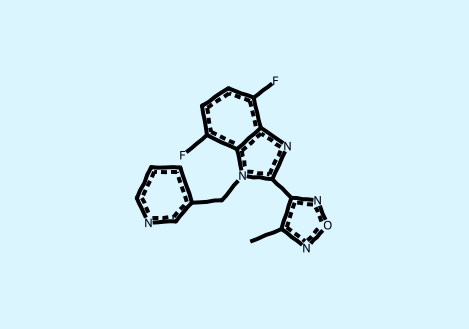 Cc1nonc1-c1nc2c(F)ccc(F)c2n1Cc1cccnc1